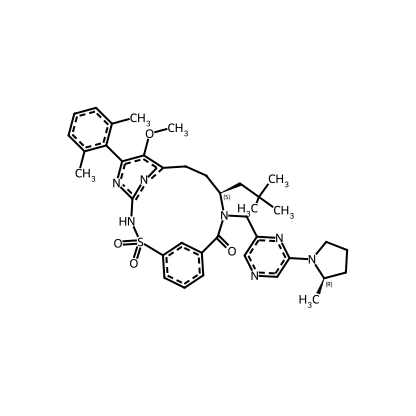 COc1c2nc(nc1-c1c(C)cccc1C)NS(=O)(=O)c1cccc(c1)C(=O)N(Cc1cncc(N3CCC[C@H]3C)n1)[C@H](CC(C)(C)C)CC2